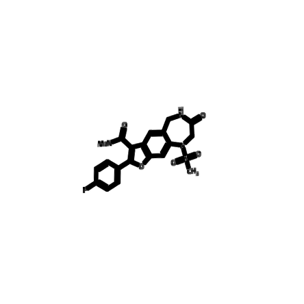 CNC(=O)c1c(-c2ccc(F)cc2)oc2cc3c(cc12)CNC(=O)CN3S(C)(=O)=O